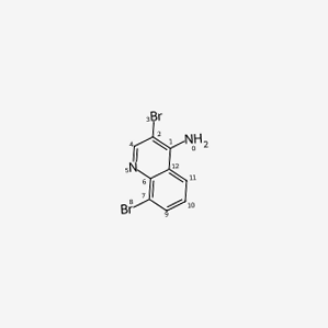 Nc1c(Br)cnc2c(Br)cccc12